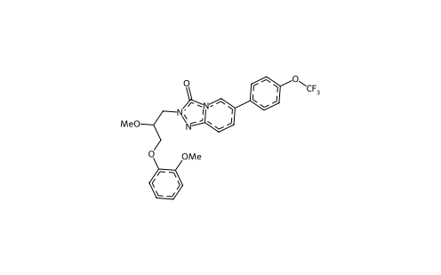 COc1ccccc1OCC(Cn1nc2ccc(-c3ccc(OC(F)(F)F)cc3)cn2c1=O)OC